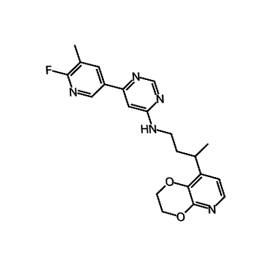 Cc1cc(-c2cc(NCCC(C)c3ccnc4c3OCCO4)ncn2)cnc1F